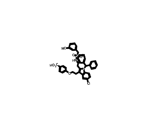 N#Cc1cccc(CS(=O)(=O)NCCc2c(CCOc3ccc(C(=O)O)cc3)c3cc(Cl)ccc3n2C(c2ccccc2)c2ccccc2)c1